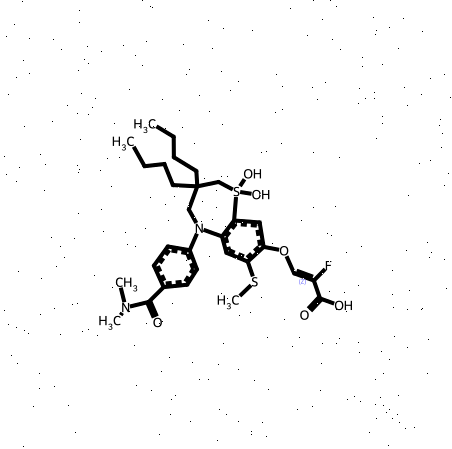 CCCCC1(CCCC)CN(c2ccc(C(=O)N(C)C)cc2)c2cc(SC)c(O/C=C(\F)C(=O)O)cc2S(O)(O)C1